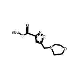 CCCCOC(=O)c1cc(CN2CCOCC2)on1